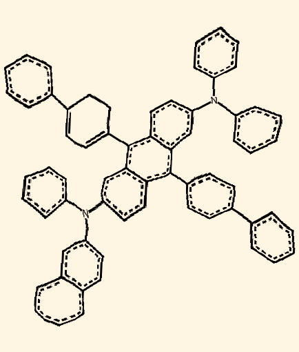 C1=C(c2ccccc2)CCC(c2c3cc(N(c4ccccc4)c4ccc5ccccc5c4)ccc3c(-c3ccc(-c4ccccc4)cc3)c3cc(N(c4ccccc4)c4ccccc4)ccc23)=C1